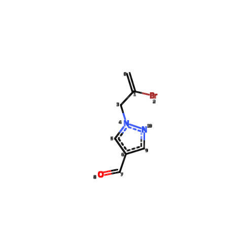 C=C(Br)Cn1cc(C=O)cn1